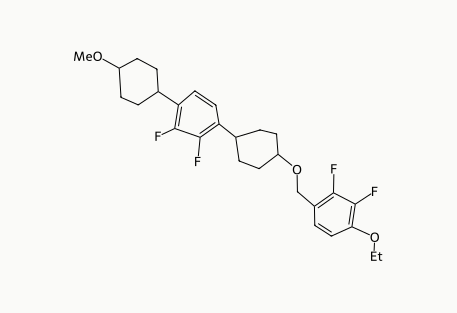 CCOc1ccc(COC2CCC(c3ccc(C4CCC(OC)CC4)c(F)c3F)CC2)c(F)c1F